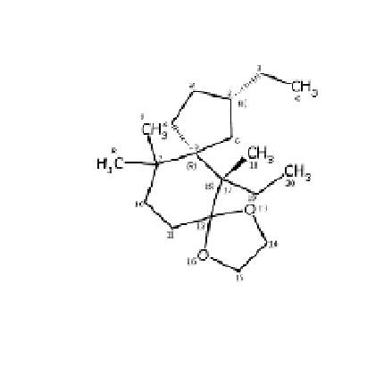 CC[C@H]1CC[C@@]2(C1)C(C)(C)CCC1(OCCO1)[C@@]2(C)CC